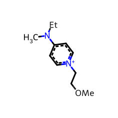 CCN(C)c1cc[n+](CCOC)cc1